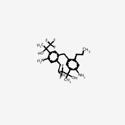 CCCc1cc(N)c(C(C)(O)C(F)(F)F)cc1Cc1cc(C(C)(O)C(F)(F)F)c(N)cc1CCC